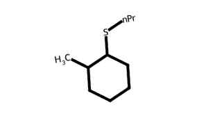 CCCSC1CCCCC1C